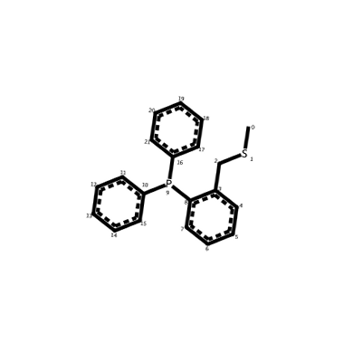 CSCc1ccccc1P(c1ccccc1)c1ccccc1